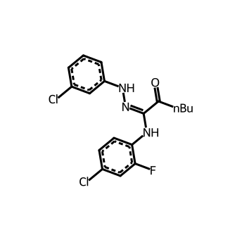 CCCCC(=O)/C(=N\Nc1cccc(Cl)c1)Nc1ccc(Cl)cc1F